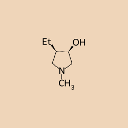 CC[C@@H]1CN(C)C[C@@H]1O